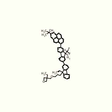 C=CC1(CCCOCC2(CC)COC2)c2ccccc2-c2ccc(-c3ccc4c(c3)C(C)(C(F)(F)F)c3cc(-c5ccc6ccc7cc(C(C)(C)C)cc8ccc5c6c78)ccc3-4)cc21